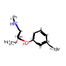 CC(C)NC[C@@H](C)Oc1cccc(C(C)(C)C)c1